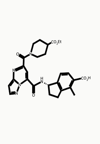 CCOC(=O)C1CCN(C(=O)c2cc(C(=O)N[C@H]3CCc4c3ccc(C(=O)O)c4C)n3nccc3n2)CC1